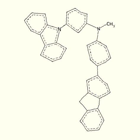 CN(c1ccc(-c2ccc3c(c2)Cc2ccccc2-3)cc1)c1cccc(-n2c3ccccc3c3ccccc32)c1